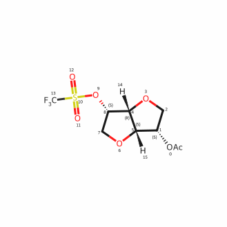 CC(=O)O[C@H]1CO[C@@H]2[C@H]1OC[C@@H]2OS(=O)(=O)C(F)(F)F